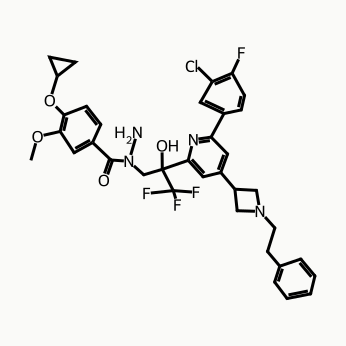 COc1cc(C(=O)N(N)CC(O)(c2cc(C3CN(CCc4ccccc4)C3)cc(-c3ccc(F)c(Cl)c3)n2)C(F)(F)F)ccc1OC1CC1